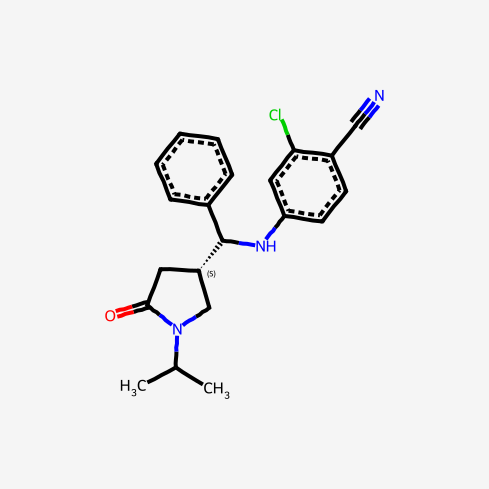 CC(C)N1C[C@@H](C(Nc2ccc(C#N)c(Cl)c2)c2ccccc2)CC1=O